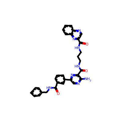 Nc1ncc(-c2cccc(C(=O)NCc3ccccc3)c2)nc1C(=O)NCCCNC(=O)c1cnc2ccccc2n1